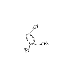 CC(C)c1ccc(C#N)cc1CO